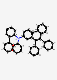 c1ccc(-c2ccccc2N(c2ccccc2)c2ccc3c(c2)c(-c2ccccc2)c(-c2ccccc2)c2ccccc23)cc1